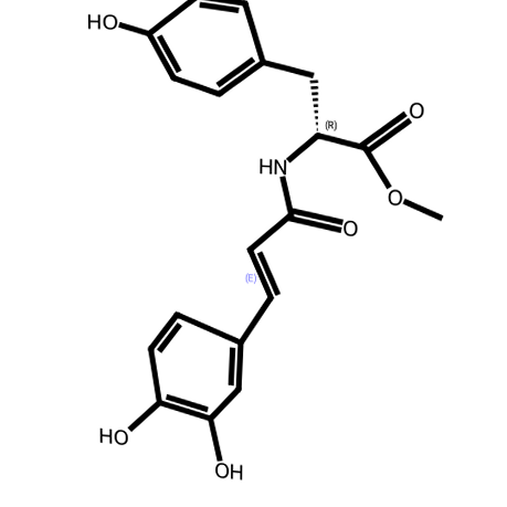 COC(=O)[C@@H](Cc1ccc(O)cc1)NC(=O)/C=C/c1ccc(O)c(O)c1